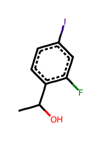 CC(O)c1ccc(I)cc1F